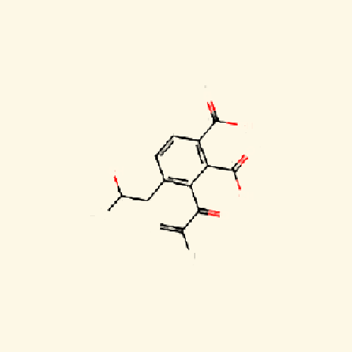 C=C(C)C(=O)c1c(CC(C)O)ccc(C(=O)O)c1C(=O)O